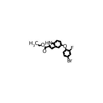 CCOC(=O)c1cc2cc(Oc3ccc(Br)cc3F)ccc2[nH]1